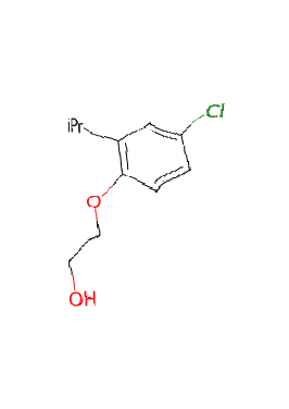 CC(C)c1cc(Cl)ccc1OCCO